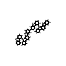 c1ccc2c(c1)oc1cccc(-n3c4ccccc4c4ccc5c6cc(-c7ccc8c(c7)sc7cccc(-n9c%10ccccc%10c%10ccc%11c%12ccccc%12sc%11c%109)c78)ccc6sc5c43)c12